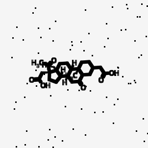 CC(=O)[C@@]1(CC(=O)O)CC[C@H]2[C@@H]3CC(=O)C4CC(CC(=O)O)CC[C@]4(C)[C@H]3CC[C@@]21C